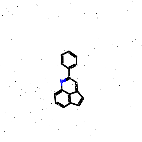 C1=Cc2cc(-c3ccccc3)nc3cccc1c23